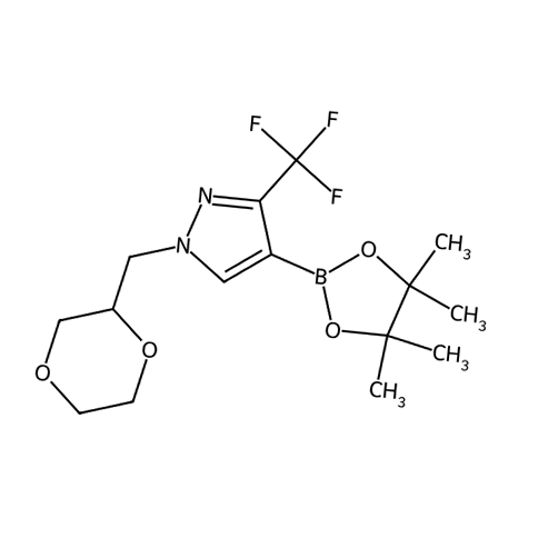 CC1(C)OB(c2cn(CC3COCCO3)nc2C(F)(F)F)OC1(C)C